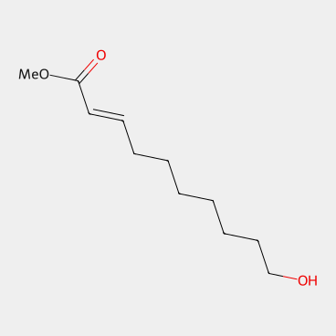 COC(=O)C=CCCCCCCCO